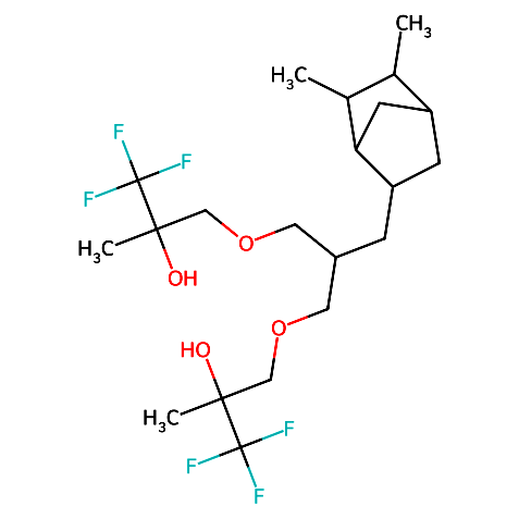 CC1C2CC(CC(COCC(C)(O)C(F)(F)F)COCC(C)(O)C(F)(F)F)C(C2)C1C